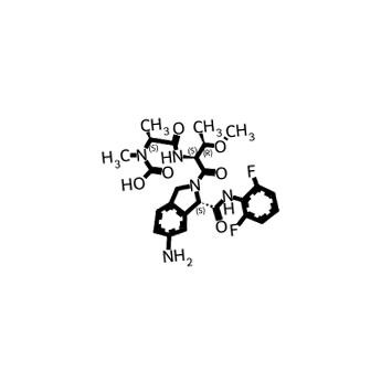 CO[C@H](C)[C@H](NC(=O)[C@H](C)N(C)C(=O)O)C(=O)N1Cc2ccc(N)cc2[C@H]1C(=O)Nc1c(F)cccc1F